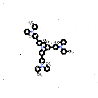 Cc1cccc(N(c2ccc(-c3ccc4c(c3)C(C)(C)c3cc(-c5ccc(N(c6cccc(C)c6)c6ccccc6C)cc5)cc5c6cc(-c7ccc(N(c8cccc(C)c8)c8ccccc8C)cc7)ccc6n-4c35)cc2)c2ccccc2C)c1